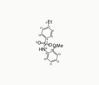 CCc1ccc(S(=O)(=O)Nc2ccccc2OC)cc1